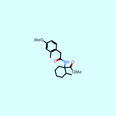 COC(=O)C1(NC(=O)Cc2ccc(OC)cc2C)CCCCC1C